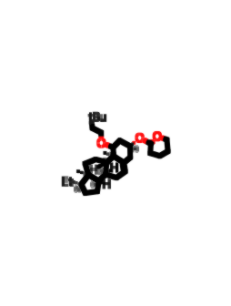 CC[C@H]1CC[C@H]2[C@@H]3CC=C4C[C@@H](OC5CCCCO5)CC(OCCC(C)(C)C)[C@]4(C)[C@H]3CC[C@]12C